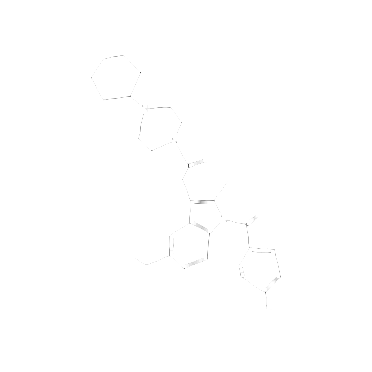 Cc1c(CC(=O)N2CCN(C3CCCCC3)CC2)c2cc(CO)ccc2n1C(=O)c1ccc(Cl)cc1